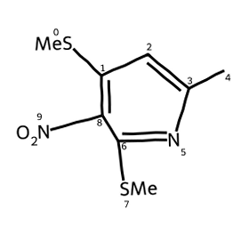 CSc1cc(C)nc(SC)c1[N+](=O)[O-]